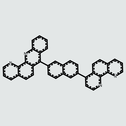 c1cnc2c(c1)ccc1c(-c3ccc4cc(-c5c6ccccc6nc6c5ccc5cccnc56)ccc4c3)ccnc12